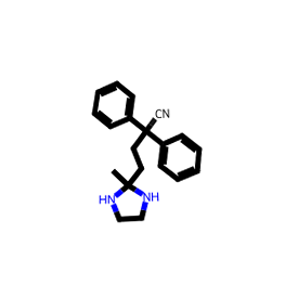 CC1(CCC(C#N)(c2ccccc2)c2ccccc2)NCCN1